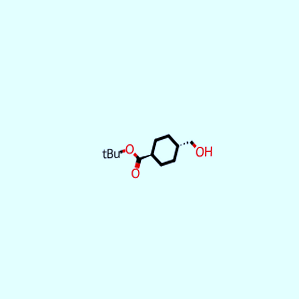 CC(C)(C)OC(=O)[C@H]1CC[C@H](CO)CC1